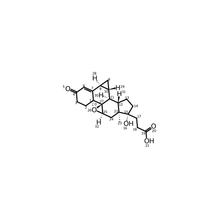 C[C@]12CCC(=O)C=C1[C@H]1C[C@@H]1[C@H]1[C@@H]3CC[C@@](O)(CCC(=O)O)[C@@]3(C)C[C@H]3O[C@@]132